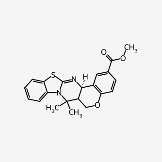 COC(=O)c1ccc2c(c1)[C@@H]1N=C3Sc4ccccc4N3C(C)(C)C1CO2